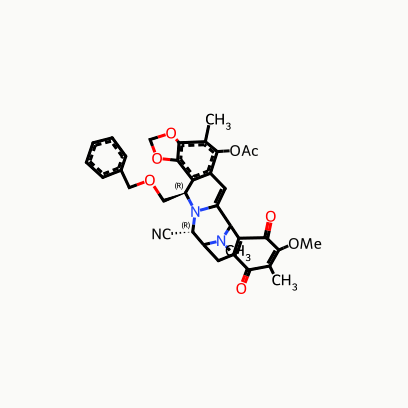 COC1=C(C)C(=O)C2=C(C1=O)C1C3=Cc4c(OC(C)=O)c(C)c5c(c4[C@H](COCc4ccccc4)N3[C@@H](C#N)C(C2)N1C)OCO5